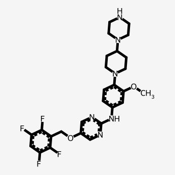 COc1cc(Nc2ncc(OCc3c(F)c(F)cc(F)c3F)cn2)ccc1N1CCC(N2CCNCC2)CC1